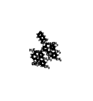 Cc1ccc(NC(C)c2cccc(C(C)Nc3ccc(C)cc3C)n2)c(C)c1.Cc1ccc(NC(C)c2cccc(C(C)Nc3ccc(C)cc3C)n2)c(C)c1.[Co+].[Co+].[O-]c1cc2ccccc2cc1[O-]